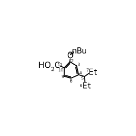 CCCCOc1cc(C(CC)CC)ccc1C(=O)O